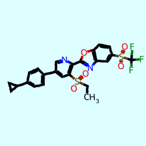 CCS(=O)(=O)c1cc(-c2ccc(C3CC3)cc2)cnc1-c1nc2cc(S(=O)(=O)C(F)(F)F)ccc2o1